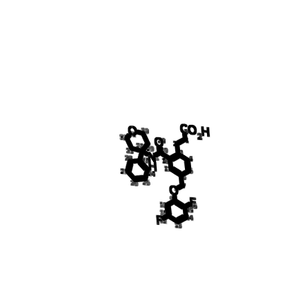 O=C(O)CCc1ccc(COc2cc(F)ccc2F)cc1C(=O)NC1(c2ccccc2)CCOCC1